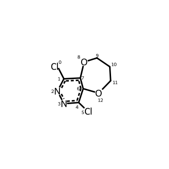 Clc1nnc(Cl)c2c1OCCCO2